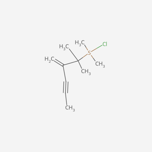 C=C(C#CC)C(C)(C)S(C)(C)Cl